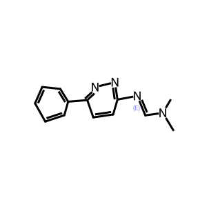 CN(C)/C=N/c1ccc(-c2ccccc2)nn1